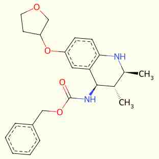 C[C@H]1[C@H](C)Nc2ccc(OC3CCOC3)cc2[C@@H]1NC(=O)OCc1ccccc1